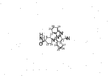 N#Cc1c2c(c(N3CCC(C(N)=O)CC3)n3c1nc1ccccc13)C1CCC2C1